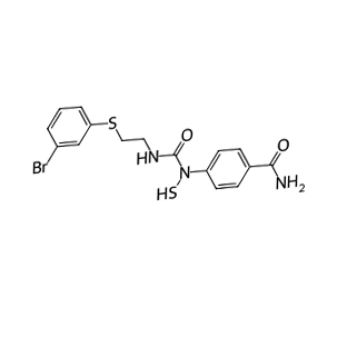 NC(=O)c1ccc(N(S)C(=O)NCCSc2cccc(Br)c2)cc1